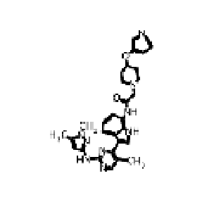 Cc1cnc(Nc2cc(C)n(C)n2)nc1-c1c[nH]c2c(NC(=O)CN3CCC(Oc4cccnc4)CC3)cccc12